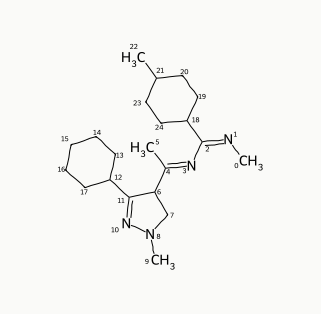 C/N=C(\N=C(/C)C1CN(C)N=C1C1CCCCC1)C1CCC(C)CC1